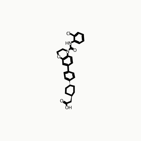 O=C(O)C[C@H]1CC[C@H](c2ccc(-c3ccc4c(c3)OCCN4C(=O)Nc3ccccc3Cl)cc2)CC1